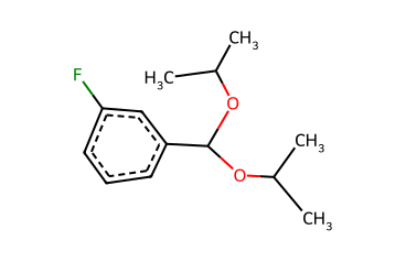 CC(C)OC(OC(C)C)c1cccc(F)c1